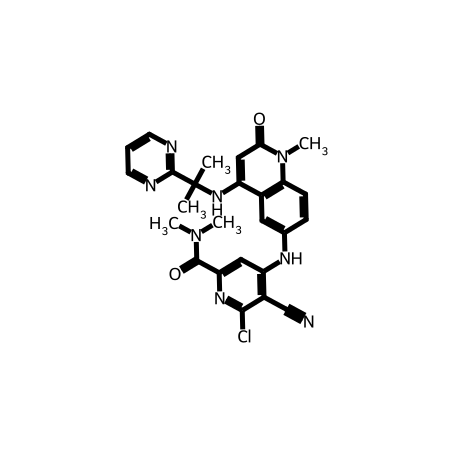 CN(C)C(=O)c1cc(Nc2ccc3c(c2)c(NC(C)(C)c2ncccn2)cc(=O)n3C)c(C#N)c(Cl)n1